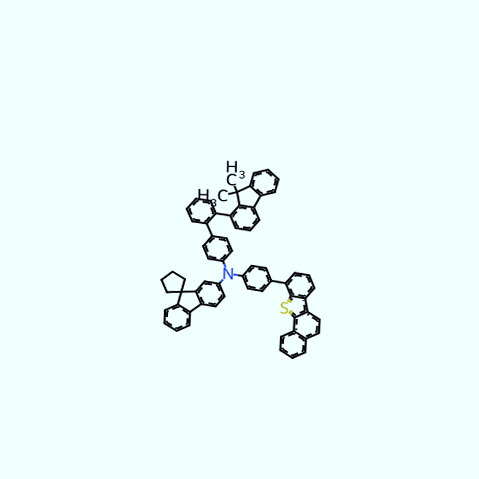 CC1(C)c2ccccc2-c2cccc(-c3ccccc3-c3ccc(N(c4ccc(-c5cccc6c5sc5c7ccccc7ccc65)cc4)c4ccc5c(c4)C4(CCCC4)c4ccccc4-5)cc3)c21